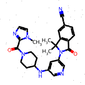 Cn1ccnc1C(=O)N1CCC(Nc2cncc(N3C(=O)c4ccc(C#N)cc4C3(C)C)c2)CC1